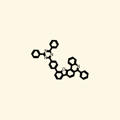 c1ccc(-c2nc(-c3ccccc3)nc(-c3ccc(-c4cccc5c4oc4c5ccc5c(-c6ccccc6)nc6ccccc6c54)cc3)n2)cc1